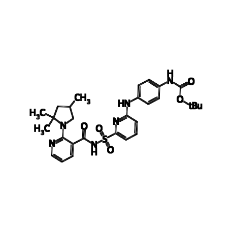 CC1CN(c2ncccc2C(=O)NS(=O)(=O)c2cccc(Nc3ccc(NC(=O)OC(C)(C)C)cc3)n2)C(C)(C)C1